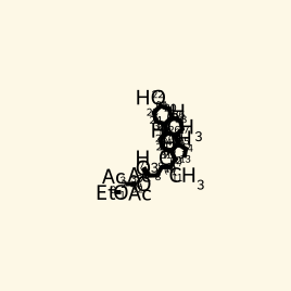 CCOC(C(C)=O)C(OC(=O)CC[C@@H](C)[C@H]1CC[C@H]2[C@@H]3CC[C@H]4C[C@H](O)CC[C@@]4(C)[C@H]3CC[C@]12C)(C(C)=O)C(C)=O